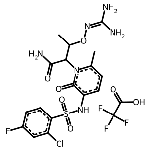 Cc1ccc(NS(=O)(=O)c2ccc(F)cc2Cl)c(=O)n1C(C(N)=O)C(C)ON=C(N)N.O=C(O)C(F)(F)F